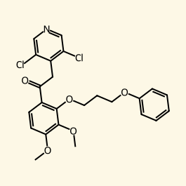 COc1ccc(C(=O)Cc2c(Cl)cncc2Cl)c(OCCCOc2ccccc2)c1OC